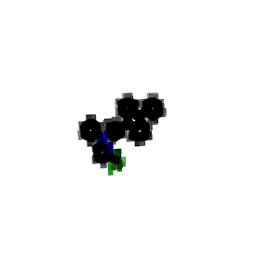 FC(F)(F)c1cccc(N(c2ccccc2)c2ccc(-c3c4ccccc4c(-c4ccccc4)c4ccccc34)cc2)n1